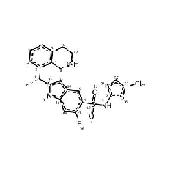 C[C@H](c1cccc2c1CNCC2)n1cc2cc(S(=O)(=O)Nc3ncc(Cl)s3)c(F)cc2n1